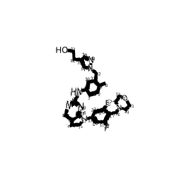 Cc1ccc(Nc2ncc3ccn(-c4cc(F)c(CN5CCOCC5)c(F)c4)c3n2)cc1Cn1cc(CCO)cn1